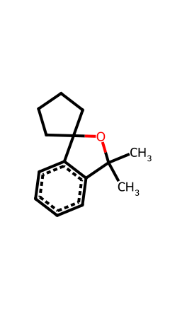 CC1(C)OC2(CCCC2)c2ccccc21